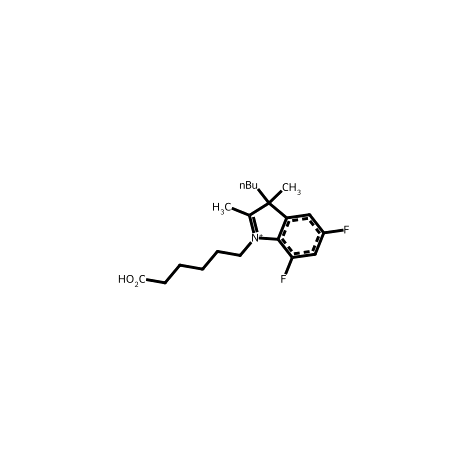 CCCCC1(C)C(C)=[N+](CCCCCC(=O)O)c2c(F)cc(F)cc21